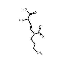 CCCCC(C=CC(N)C(=O)O)P(=O)=O